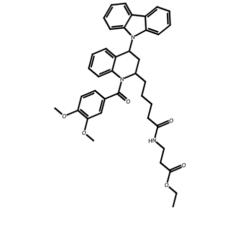 CCOC(=O)CCNC(=O)CCCCC1CC(n2c3ccccc3c3ccccc32)c2ccccc2N1C(=O)c1ccc(OC)c(OC)c1